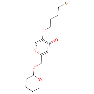 O=c1cc(COC2CCCCO2)occ1OCCCCBr